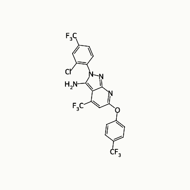 Nc1c2c(C(F)(F)F)cc(Oc3ccc(C(F)(F)F)cc3)nc2nn1-c1ccc(C(F)(F)F)cc1Cl